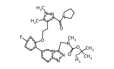 Cc1c(CCOc2cc(F)ccc2-c2ccc3nnc(CN(C)C(=O)OC(C)(C)C)n3c2)c(C(=O)N2CCCC2)nn1C